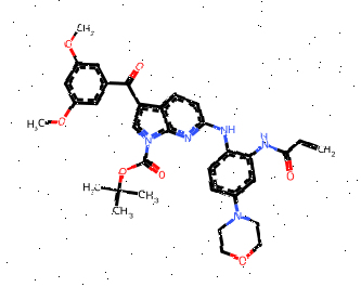 C=CC(=O)Nc1cc(N2CCOCC2)ccc1Nc1ccc2c(C(=O)c3cc(OC)cc(OC)c3)cn(C(=O)OC(C)(C)C)c2n1